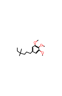 CCC(C)(C)[CH]CCc1cc(OC)c(OC)c(OC)c1